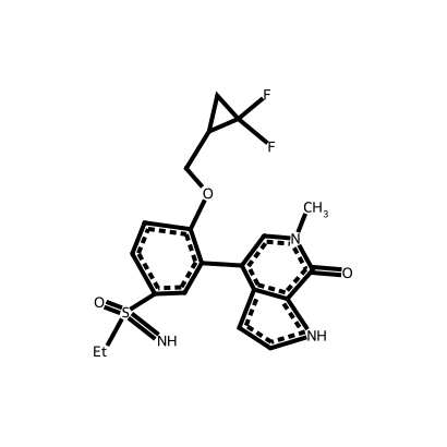 CCS(=N)(=O)c1ccc(OCC2CC2(F)F)c(-c2cn(C)c(=O)c3[nH]ccc23)c1